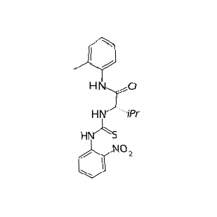 Cc1ccccc1NC(=O)[C@@H](NC(=S)Nc1ccccc1[N+](=O)[O-])C(C)C